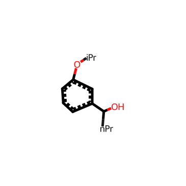 CCCC(O)c1cccc(OC(C)C)c1